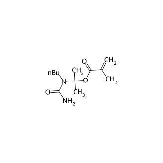 C=C(C)C(=O)OC(C)(C)N(CCCC)C(N)=O